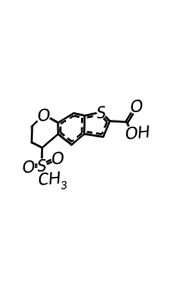 CS(=O)(=O)C1CCOc2cc3sc(C(=O)O)cc3cc21